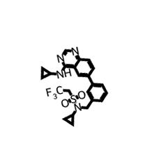 O=S(=O)(CC(F)(F)F)N(Cc1cccc(-c2ccc3ncnc(NC4CC4)c3c2)c1)C1CC1